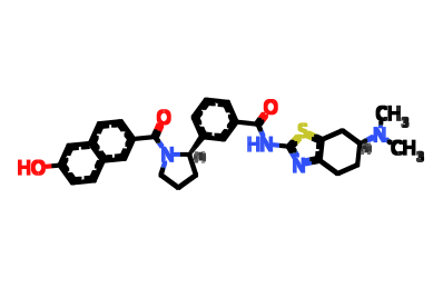 CN(C)[C@H]1CCc2nc(NC(=O)c3cccc([C@H]4CCCN4C(=O)c4ccc5cc(O)ccc5c4)c3)sc2C1